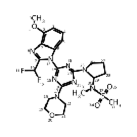 COc1cccc2c1nc(C(F)F)n2-c1nc(N2CCOCC2)nc(N2CCCC2N(C)S(C)(=O)=O)n1